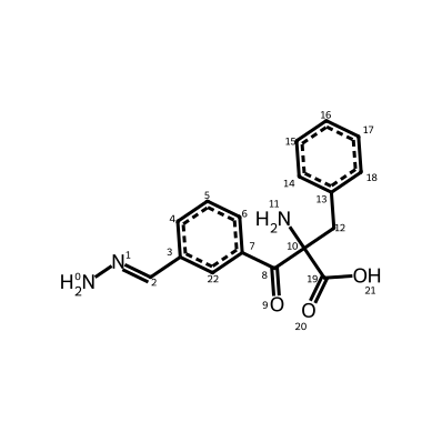 NN=Cc1cccc(C(=O)C(N)(Cc2ccccc2)C(=O)O)c1